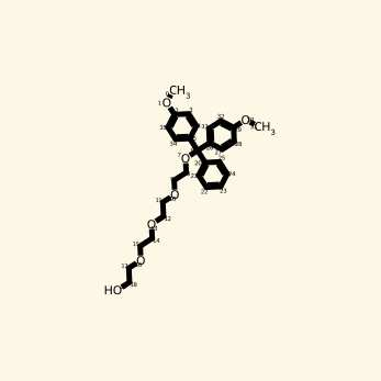 COc1ccc(C(OCCOCCOCCOCCO)(c2ccccc2)c2ccc(OC)cc2)cc1